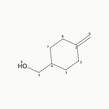 C=C1CCC(CO)CC1